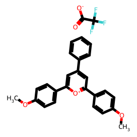 COc1ccc(-c2cc(-c3ccccc3)cc(-c3ccc(OC)cc3)[o+]2)cc1.O=C([O-])C(F)(F)F